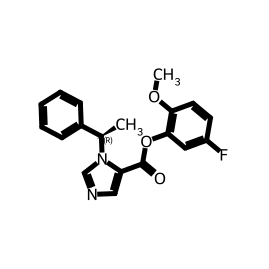 COc1ccc(F)cc1OC(=O)c1cncn1[C@H](C)c1ccccc1